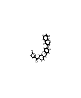 O=C1CC=C(C(=O)N2CCC(Oc3ccc(-c4cnc5ccccc5c4)cc3)CC2)O1